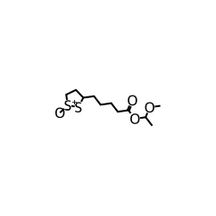 COC(C)OC(=O)CCCCC1CC[S+]([O-])S1